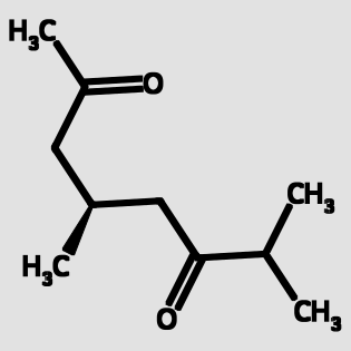 CC(=O)C[C@H](C)CC(=O)C(C)C